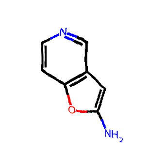 Nc1cc2cnccc2o1